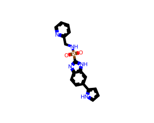 O=S(=O)(NCc1ccccn1)c1nc2ccc(-c3ccc[nH]3)cc2[nH]1